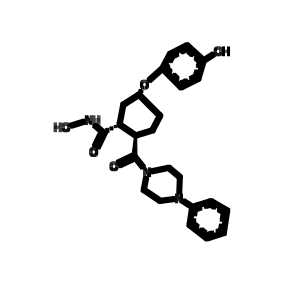 O=C(NO)[C@@H]1C[C@H](Oc2ccc(O)cc2)CC[C@H]1C(=O)N1CCN(c2ccccc2)CC1